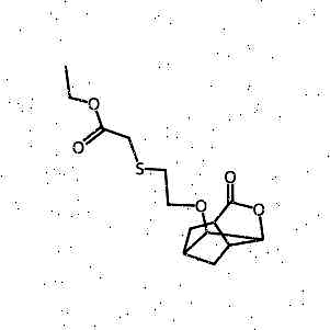 CCOC(=O)CSCCOC1C2CC3C(=O)OC1C3C2